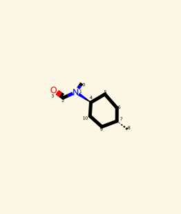 CN(C=O)[C@H]1CC[C@H](C)CC1